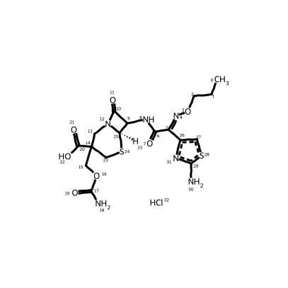 CCCON=C(C(=O)NC1C(=O)N2CC(COC(N)=O)(C(=O)O)CS[C@H]12)c1csc(N)n1.Cl